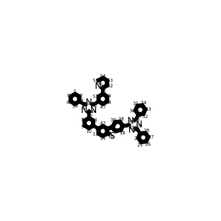 c1ccc(-c2nc(-c3cccc(-c4ccc5sc6cc(-c7nc(-c8ccccc8)nc(-c8ccccc8)n7)ccc6c5c4)c3)nc(-c3cccc(-c4ccccn4)c3)n2)cc1